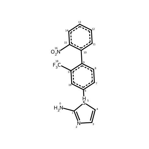 NC1=NC=C[SH]1c1ccc(-c2ccccc2[N+](=O)[O-])c(C(F)(F)F)c1